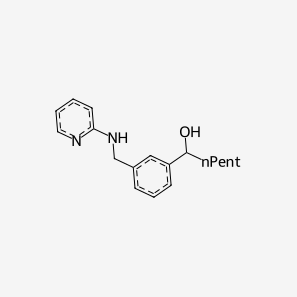 CCCCCC(O)c1cccc(CNc2ccccn2)c1